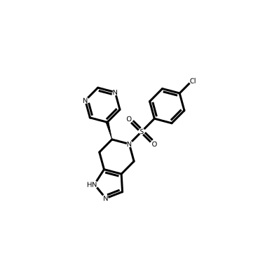 O=S(=O)(c1ccc(Cl)cc1)N1Cc2cn[nH]c2C[C@H]1c1cncnc1